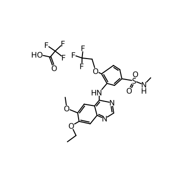 CCOc1cc2ncnc(Nc3cc(S(=O)(=O)NC)ccc3OCC(F)(F)F)c2cc1OC.O=C(O)C(F)(F)F